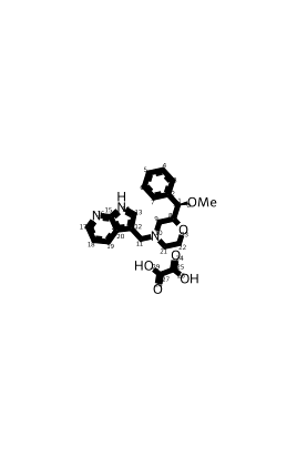 CO[C@H](c1ccccc1)C1CN(Cc2c[nH]c3ncccc23)CCO1.O=C(O)C(=O)O